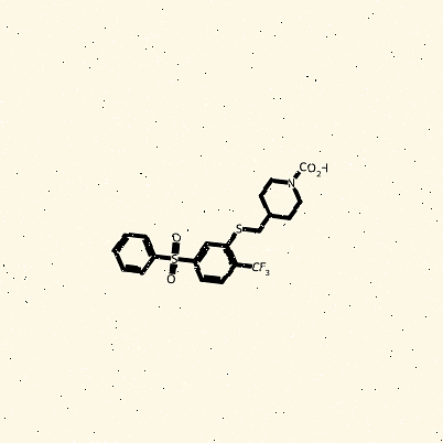 O=C(O)N1CCC(CSc2cc(S(=O)(=O)c3ccccc3)ccc2C(F)(F)F)CC1